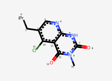 CC(C)Cc1cnc2[nH]c(=O)n(C)c(=O)c2c1Cl